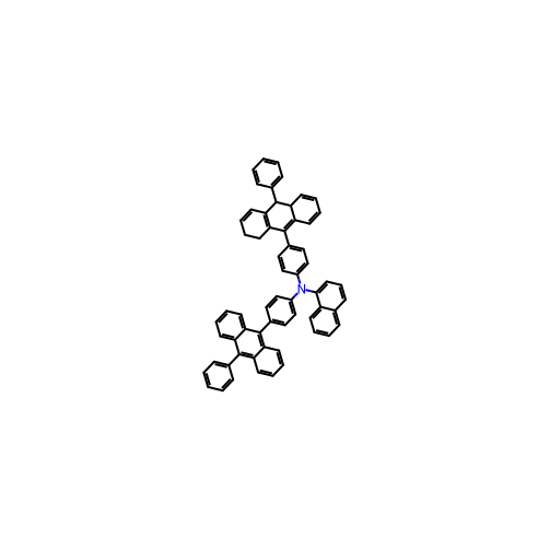 C1=CC2=C(c3ccc(N(c4ccc(-c5c6ccccc6c(-c6ccccc6)c6ccccc56)cc4)c4cccc5ccccc45)cc3)C3=C(C=CCC3)C(c3ccccc3)C2C=C1